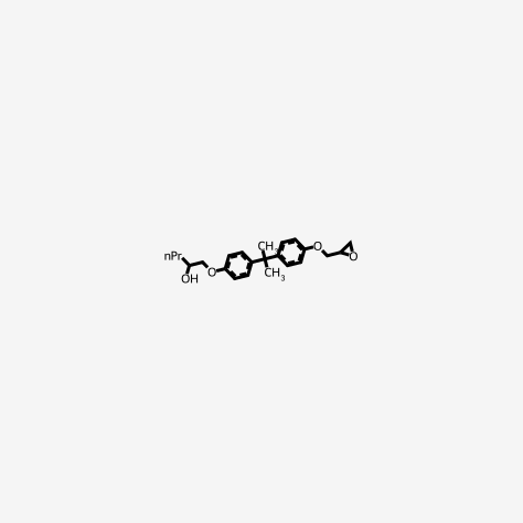 CCCC(O)COc1ccc(C(C)(C)c2ccc(OCC3CO3)cc2)cc1